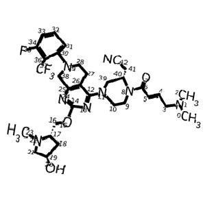 CN(C)C/C=C/C(=O)N1CCN(c2nc(OC[C@@H]3C[C@@H](O)CN3C)nc3c2CCN(c2cccc(F)c2C(F)(F)F)C3)C[C@@H]1CC#N